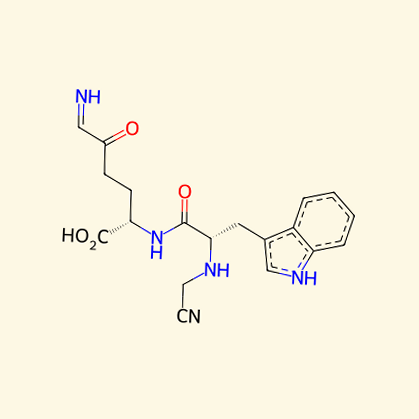 N#CCN[C@@H](Cc1c[nH]c2ccccc12)C(=O)N[C@@H](CCC(=O)C=N)C(=O)O